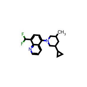 CC1CC(C2CC2)CN(c2ccc(C(F)F)c3ncccc23)C1